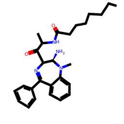 CCCCCCCC(=O)NC(C)C(=O)C1N=C(c2ccccc2)c2ccccc2N(C)[C@@H]1N